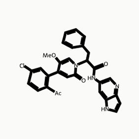 COc1cn(C(Cc2ccccc2)C(=O)Nc2cnc3cc[nH]c3c2)c(=O)cc1-c1cc(Cl)ccc1C(C)=O